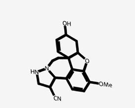 COc1ccc2c3c1OC1CC(O)C=CC31CCN1NCC(C#N)C21